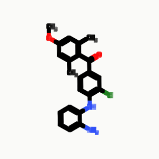 COc1cc(C)c(C(=O)c2ccc(Nc3ccccc3N)c(Cl)c2)c(C)c1